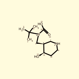 CC(C)(C)N(C[C@H]1CNCC[C@H]1O)C(=O)O